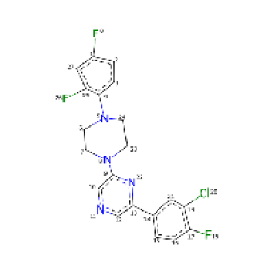 Fc1ccc(N2CCN(c3cncc(-c4ccc(F)c(Cl)c4)n3)CC2)c(F)c1